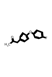 CC(=O)Cc1ccc(Oc2ccc(F)cc2)cc1